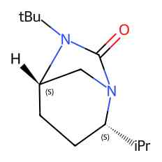 CC(C)[C@@H]1CC[C@H]2CN1C(=O)N2C(C)(C)C